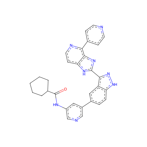 O=C(Nc1cncc(-c2ccc3[nH]nc(-c4nc5c(-c6ccncc6)nccc5[nH]4)c3c2)c1)C1CCCCC1